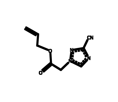 C=CCOC(=O)Cn1cnc(C#N)n1